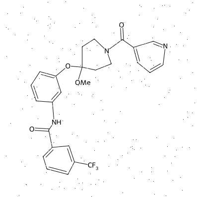 COC1(Oc2cccc(NC(=O)c3cccc(C(F)(F)F)c3)c2)CCN(C(=O)c2cccnc2)CC1